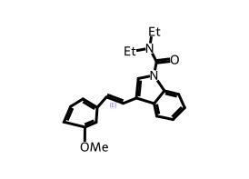 CCN(CC)C(=O)n1cc(/C=C/c2cccc(OC)c2)c2ccccc21